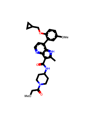 COCC(=O)N1CCC(NC(=O)c2c(C)[nH]c3c(-c4cc(OC)ccc4OCC4CC4)ccnc23)CC1